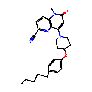 CCCCCc1ccc(OC2CCN(c3cc(=O)n(C)c4ccc(C#N)nc34)CC2)cc1